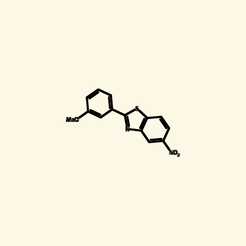 COc1cccc(-c2nc3cc([N+](=O)[O-])ccc3s2)c1